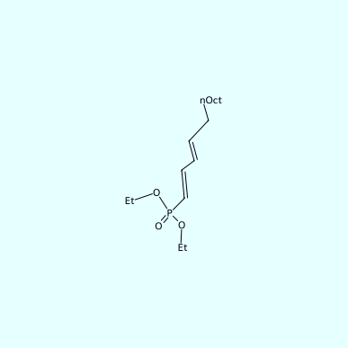 CCCCCCCCCC=CC=CP(=O)(OCC)OCC